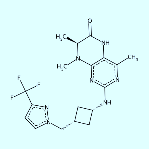 Cc1nc(N[C@H]2C[C@@H](Cn3ccc(C(F)(F)F)n3)C2)nc2c1NC(=O)[C@H](C)N2C